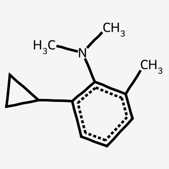 Cc1cccc(C2CC2)c1N(C)C